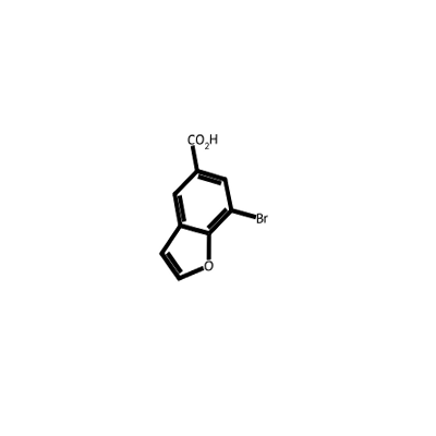 O=C(O)c1cc(Br)c2occc2c1